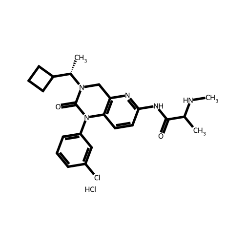 CNC(C)C(=O)Nc1ccc2c(n1)CN([C@@H](C)C1CCC1)C(=O)N2c1cccc(Cl)c1.Cl